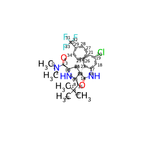 CN(C)C(=O)[C@@H]1N[C@H](CC(C)(C)C)[C@]2(C(=O)Nc3cc(Cl)ccc32)[C@H]1c1cccc(C(F)(F)F)c1